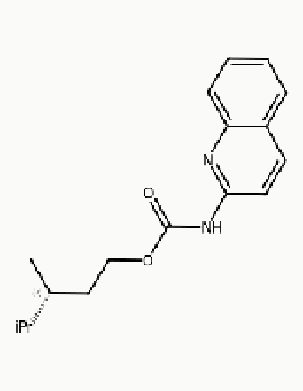 CC(C)[C@H](C)CCOC(=O)Nc1ccc2ccccc2n1